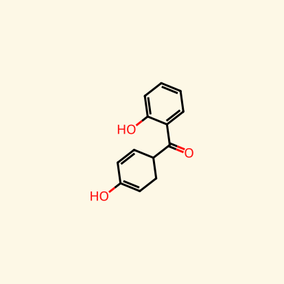 O=C(c1ccccc1O)C1C=CC(O)=CC1